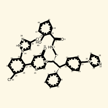 O=C(NC[C@H]([C@@H](c1ccccc1)c1ccc(-n2ccnc2)cc1)n1cnc(-c2cc(Cl)ccc2-n2cc(Cl)nn2)cc1=O)c1ccccc1O